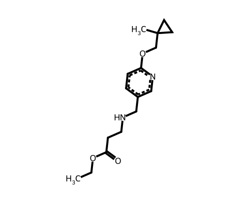 CCOC(=O)CCNCc1ccc(OCC2(C)CC2)nc1